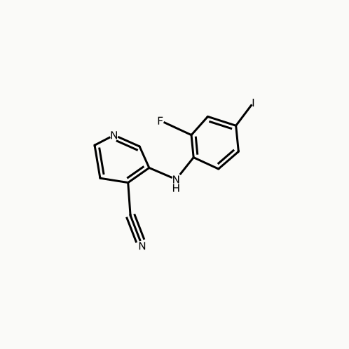 N#Cc1ccncc1Nc1ccc(I)cc1F